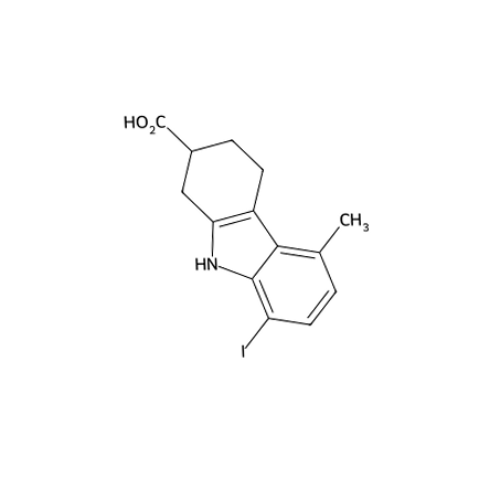 Cc1ccc(I)c2[nH]c3c(c12)CCC(C(=O)O)C3